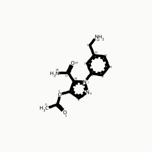 CC(=O)Oc1cnn(-c2cccc(CN)c2)c1C(N)=O